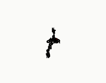 COc1ccccc1C(O)(CCC(C)C(O)(c1ccc(OCCCn2ccnc2)cc1)c1ccccc1OC)c1ccc(OCCCn2ccnc2C)cc1